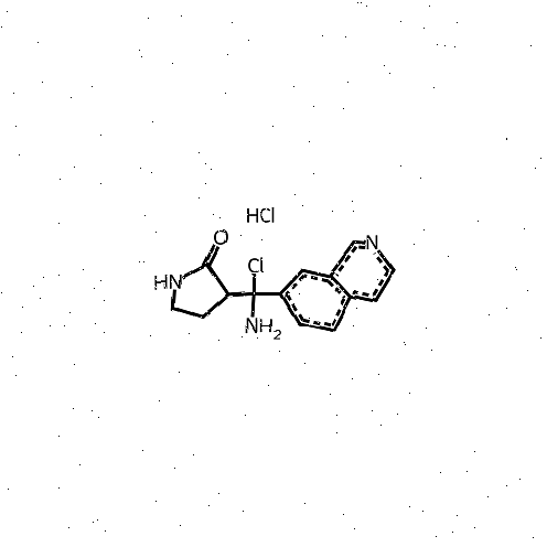 Cl.NC(Cl)(c1ccc2ccncc2c1)C1CCNC1=O